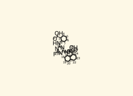 O=C(O)c1ccccc1Nc1nc(F)nc(Nc2cc[c]c3cccc(S(=O)(=O)O)c23)n1